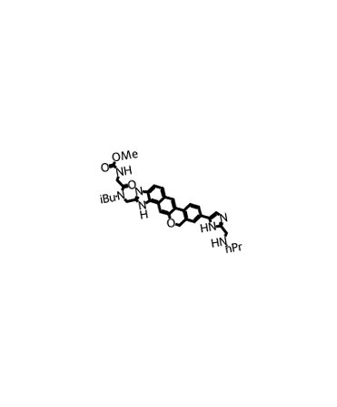 CCCNCc1ncc(-c2ccc3c(c2)COc2cc4c(ccc5nc(CN(C(=O)CNC(=O)OC)[C@@H](C)CC)[nH]c54)cc2-3)[nH]1